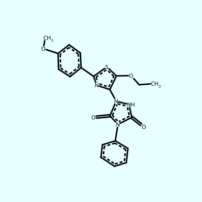 CCOc1sc(-c2ccc(OC)cc2)nc1-n1[nH]c(=O)n(-c2ccccc2)c1=O